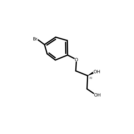 OC[C@H](O)COc1ccc(Br)cc1